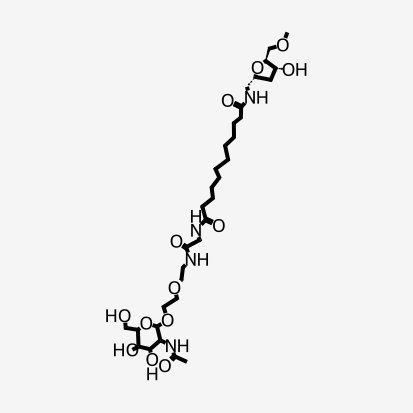 COC[C@@H]1O[C@@H](CNC(=O)CCCCCCCCCCC(=O)NCC(=O)NCCOCCOC2OC(CO)C(O)C(O)C2NC(C)=O)C[C@H]1O